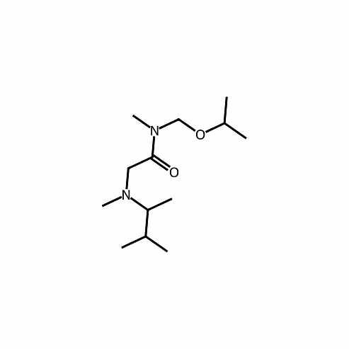 CC(C)OCN(C)C(=O)CN(C)C(C)C(C)C